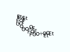 CCC(C)(CC)Oc1ccc(C(C)(C)c2ccc(Oc3c(F)c(F)c(C(=O)c4ccc(Oc5ccc(C(=O)c6c(F)c(F)c(C(C)(CC)CC)c(F)c6F)cc5)cc4)c(F)c3F)cc2)cc1